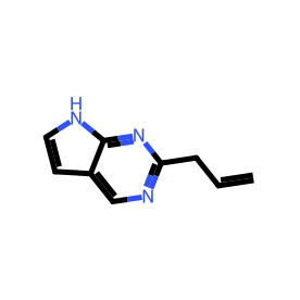 C=CCc1ncc2cc[nH]c2n1